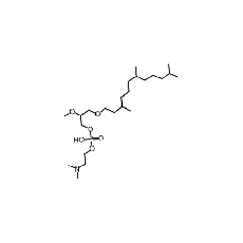 COC(COCCC(C)CCCC(C)CCCC(C)C)COP(=O)(O)OCCN(C)C